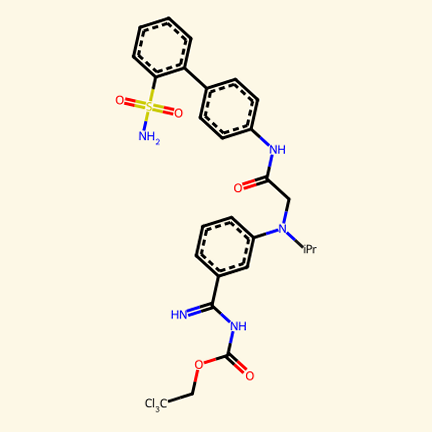 CC(C)N(CC(=O)Nc1ccc(-c2ccccc2S(N)(=O)=O)cc1)c1cccc(C(=N)NC(=O)OCC(Cl)(Cl)Cl)c1